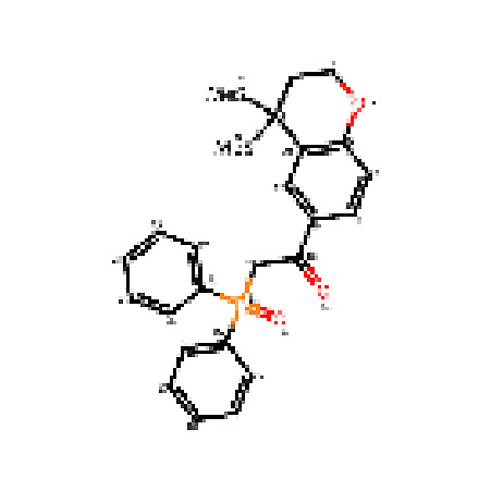 CSC1(SC)CCOc2ccc(C(=O)CP(=O)(c3ccccc3)c3ccccc3)cc21